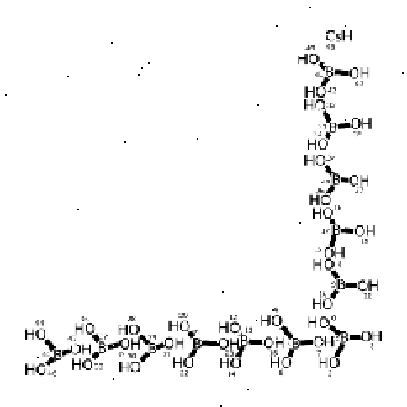 OB(O)O.OB(O)O.OB(O)O.OB(O)O.OB(O)O.OB(O)O.OB(O)O.OB(O)O.OB(O)O.OB(O)O.OB(O)O.OB(O)O.[CsH]